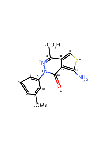 COc1cccc(-n2nc(C(=O)O)c3csc(N)c3c2=O)c1